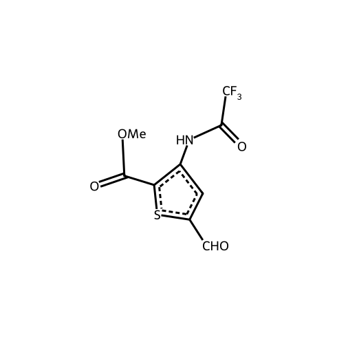 COC(=O)c1sc(C=O)cc1NC(=O)C(F)(F)F